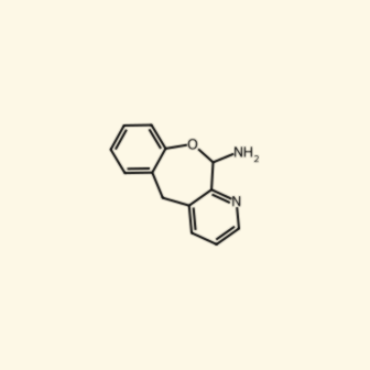 NC1Oc2ccccc2Cc2cccnc21